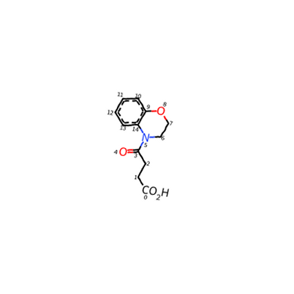 O=C(O)CCC(=O)N1CCOc2ccccc21